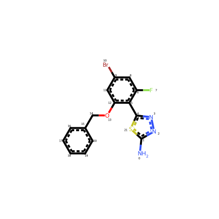 Nc1nnc(-c2c(F)cc(Br)cc2OCc2ccccc2)s1